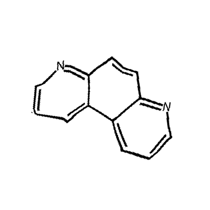 [c]1cnc2ccc3ncccc3c2c1